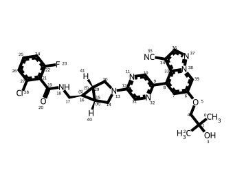 CC(C)(O)COc1cc(-c2cnc(N3C[C@@H]4[C@@H](CNC(=O)c5c(F)cccc5Cl)[C@@H]4C3)cn2)c2c(C#N)cnn2c1